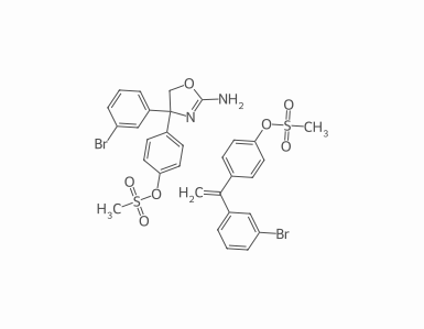 C=C(c1ccc(OS(C)(=O)=O)cc1)c1cccc(Br)c1.CS(=O)(=O)Oc1ccc(C2(c3cccc(Br)c3)COC(N)=N2)cc1